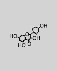 O=c1c(O)c(C2=CC=C(O)CC2)oc2cc(O)cc(O)c12